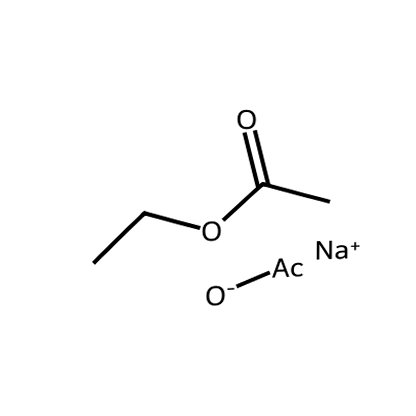 CC(=O)[O-].CCOC(C)=O.[Na+]